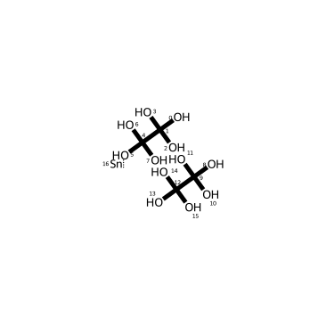 OC(O)(O)C(O)(O)O.OC(O)(O)C(O)(O)O.[Sn]